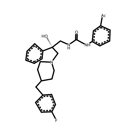 CC(=O)c1cccc(NC(=O)NC[C@@](O)(CN2CCC(Cc3ccc(F)cc3)CC2)c2ccccc2)c1